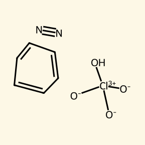 N#N.[O-][Cl+3]([O-])([O-])O.c1ccccc1